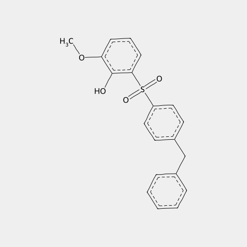 COc1cccc(S(=O)(=O)c2ccc(Cc3ccccc3)cc2)c1O